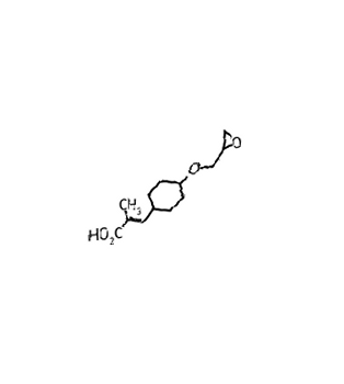 CC(=CC1CCC(OCC2CO2)CC1)C(=O)O